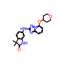 CC1(C)C(=O)Nc2cc(Nc3nc4cccc(OC5CCOCC5)n4n3)ccc21